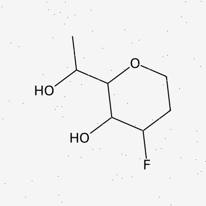 CC(O)C1OCCC(F)C1O